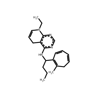 CCCC(Nc1ncnc2c1CC=CN2CC)C1=C(C)CC=CC=C1